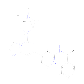 C[C@H](Nc1cc(-c2cc3nccn3c(N3C[C@@H]4C[C@H]3CN4C(C)(C)C)n2)ccn1)c1ccccc1